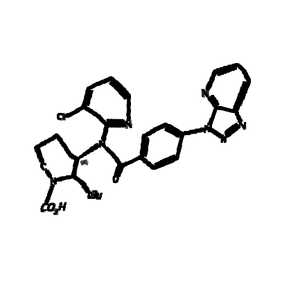 CC(C)(C)C1[C@H](N(C(=O)c2ccc(-n3nnc4cccnc43)cc2)c2ncccc2Cl)CCCN1C(=O)O